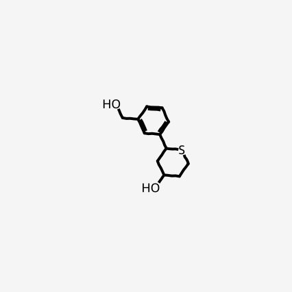 OCc1cccc(C2CC(O)CCS2)c1